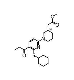 CCC(=O)c1ccc(N2CCC[C@@H](CC(=O)OC)C2)nc1SC1CCCCC1